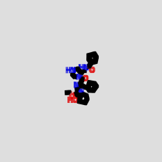 CCOCC1(O)CCCCC1n1cnc(C(=O)N2CCNC[C@H]2CNC(=O)c2ccccc2)c1-c1ccccc1